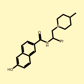 CC1CCN(CC(NC(=O)c2ccc3cc(O)ccc3c2)C(C)C)CC1